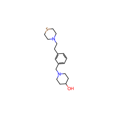 OC1CCN(Cc2cccc(CCN3CCSCC3)c2)CC1